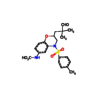 Cc1ccc(S(=O)(=O)N2CC(CC(C)(C)C=O)Oc3ccc(NC(=O)O)cc32)cc1